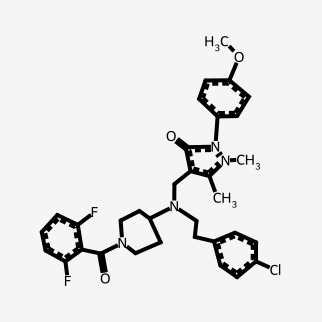 COc1ccc(-n2c(=O)c(CN(CCc3ccc(Cl)cc3)C3CCN(C(=O)c4c(F)cccc4F)CC3)c(C)n2C)cc1